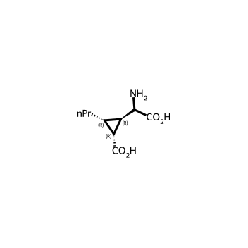 CCC[C@H]1[C@@H](C(=O)O)[C@@H]1C(N)C(=O)O